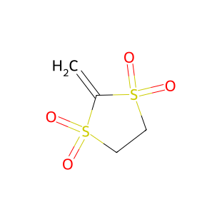 C=C1S(=O)(=O)CCS1(=O)=O